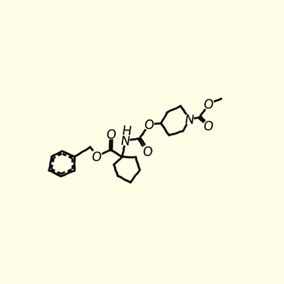 COC(=O)N1CCC(OC(=O)NC2(C(=O)OCc3ccccc3)CCCCC2)CC1